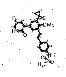 COc1c(/C=C/c2ccc(NS(C)(=O)=O)cc2)cc(-c2cc(F)c[nH]c2=O)cc1C1(Cl)CC1